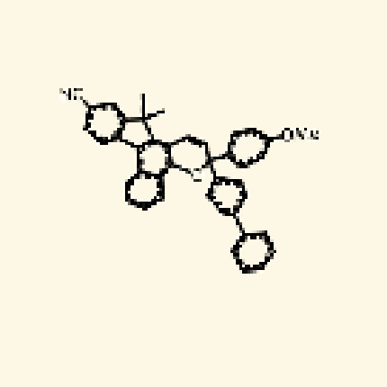 COc1ccc(C2(c3ccc(-c4ccccc4)cc3)C=Cc3c4c(c5ccccc5c3O2)-c2ccc(C#N)cc2C4(C)C)cc1